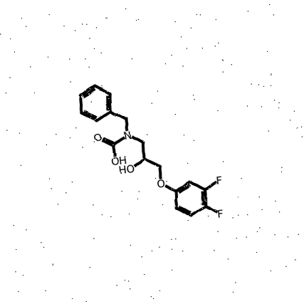 O=C(O)N(Cc1ccccc1)CC(O)COc1ccc(F)c(F)c1